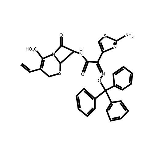 C=CC1=C(C(=O)O)N2C(=O)C(NC(=O)/C(=N\OC(c3ccccc3)(c3ccccc3)c3ccccc3)c3csc(N)n3)C2SC1